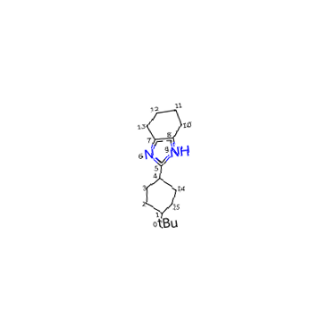 CC(C)(C)C1CCC(c2nc3c([nH]2)CCCC3)CC1